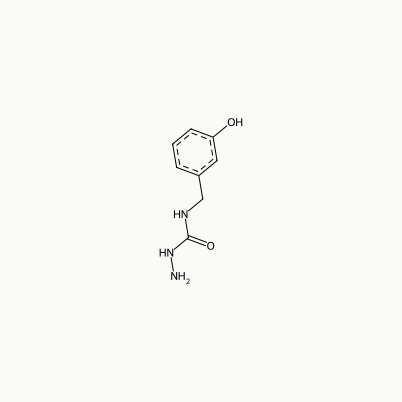 NNC(=O)NCc1cccc(O)c1